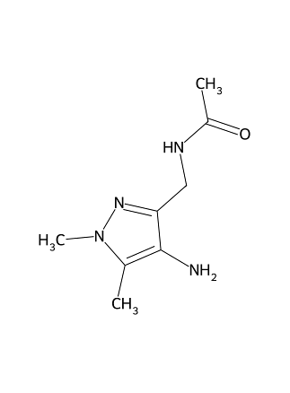 CC(=O)NCc1nn(C)c(C)c1N